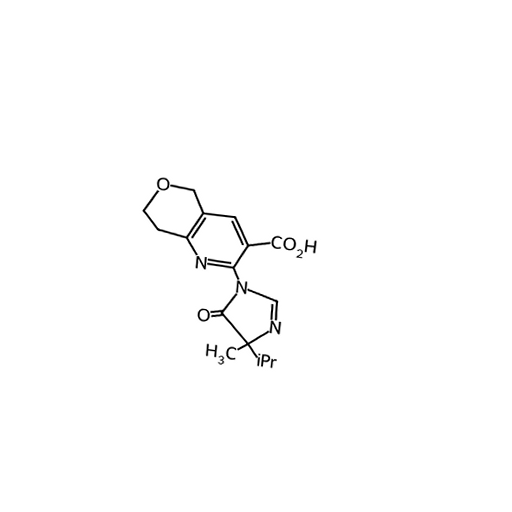 CC(C)C1(C)N=CN(c2nc3c(cc2C(=O)O)COCC3)C1=O